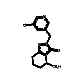 O=C(O)C1CCCc2nn(Cc3cncc(Cl)c3)c(=O)n21